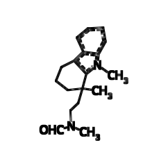 CN(C=O)CCC1(C)CCCc2c1n(C)c1ccccc21